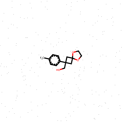 OCC1(c2ccc(C(F)(F)F)cc2)CC2(C1)OCCO2